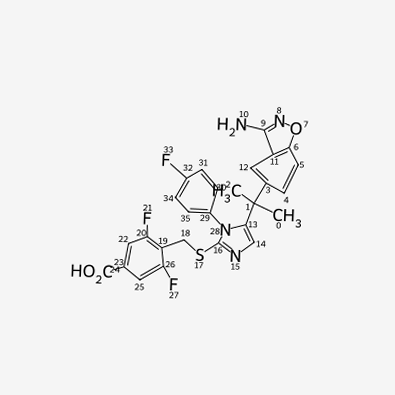 CC(C)(c1ccc2onc(N)c2c1)c1cnc(SCc2c(F)cc(C(=O)O)cc2F)n1-c1ccc(F)cc1